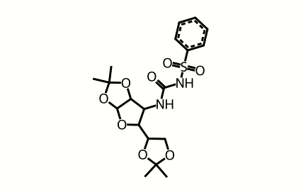 CC1(C)OCC(C2OC3OC(C)(C)OC3C2NC(=O)NS(=O)(=O)c2ccccc2)O1